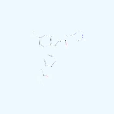 COC(=O)Cc1ccc(Sc2c(C(=O)Nc3nnn[nH]3)sc3cc(OC)c(C)cc23)cc1